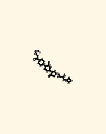 COCC(=O)N1CCN(c2ccc(N3C[C@H](CNC(=S)CC4CCC4)OC3=O)cc2F)CC1